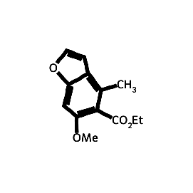 CCOC(=O)c1c(OC)cc2occc2c1C